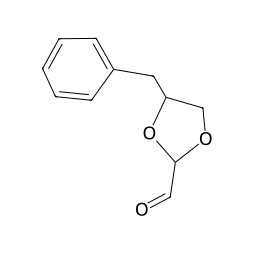 O=CC1OCC(Cc2ccccc2)O1